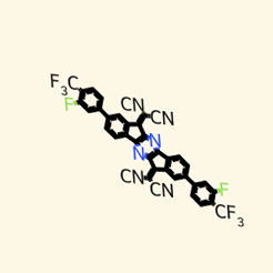 [C-]#[N+]/C(C#N)=C1/c2cc(-c3ccc(C(F)(F)F)c(F)c3)ccc2-c2nc3c(nc21)-c1ccc(-c2ccc(C(F)(F)F)c(F)c2)cc1/C3=C(/C#N)[N+]#[C-]